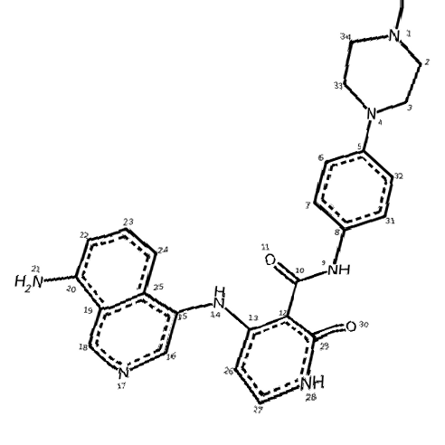 CN1CCN(c2ccc(NC(=O)c3c(Nc4cncc5c(N)cccc45)cc[nH]c3=O)cc2)CC1